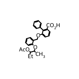 CCC(OC(C)=O)C(C)Oc1ccccc1COc1cccc(C(=O)O)c1-c1ccccc1